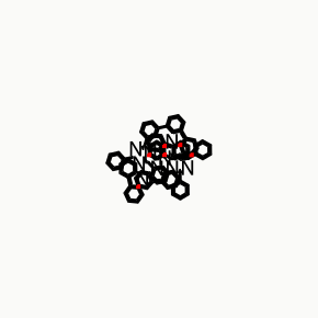 c1ccc(-c2cc(-c3c(-n4c5ccccc5c5ccccc54)cccc3-n3c4ccccc4c4cccc(-c5cccc(-c6nc(-c7ccccc7)nc(-c7c(-n8c9ccccc9c9ccccc98)cccc7-n7c8ccccc8c8ccccc87)n6)c5)c43)nc(-c3ccccc3)n2)cc1